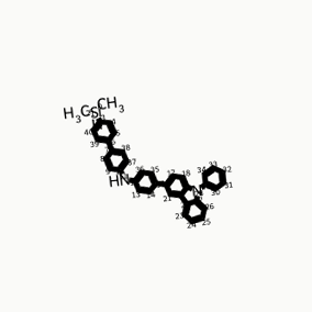 C[SiH](C)c1ccc(-c2ccc(Nc3ccc(-c4ccc5c(c4)c4ccccc4n5-c4ccccc4)cc3)cc2)cc1